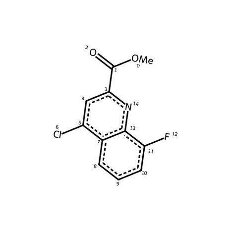 COC(=O)c1cc(Cl)c2cccc(F)c2n1